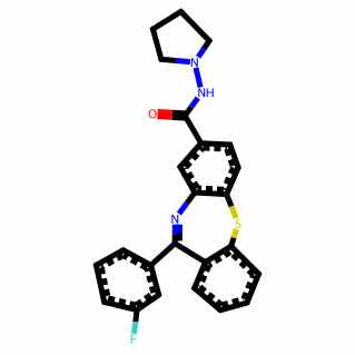 O=C(NN1CCCC1)c1ccc2c(c1)N=C(c1cccc(F)c1)c1ccccc1S2